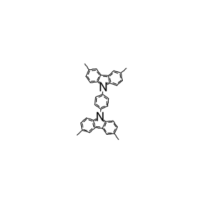 Cc1ccc2c(c1)c1cc(C)ccc1n2-c1ccc(-n2c3ccc(C)cc3c3cc(C)ccc32)cc1